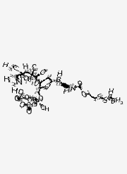 BBSSCCOC(=O)NC#CB[C@H]1C[C@@H](OC(=O)C(C)(C)CC(C)(C)CN)C(COP(=O)(O)OP(=O)(O)OP(=O)(O)O)O1